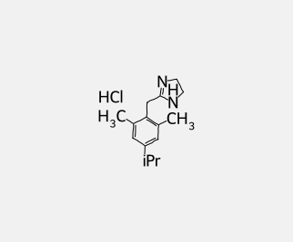 Cc1cc(C(C)C)cc(C)c1CC1=NCCN1.Cl